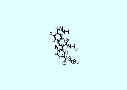 CC(C)(C)OC(=O)N1CCn2nc(-c3cc(F)c4cn[nH]c4c3)c(C(N)=O)c2C1